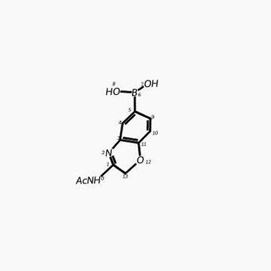 CC(=O)NC1=Nc2cc(B(O)O)ccc2OC1